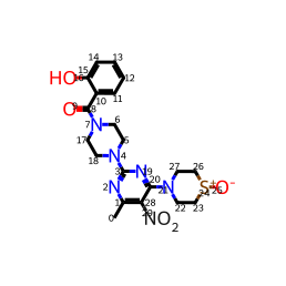 Cc1nc(N2CCN(C(=O)c3ccccc3O)CC2)nc(N2CC[S+]([O-])CC2)c1[N+](=O)[O-]